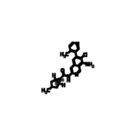 Cc1ccncc1-c1cc2cc(NC(=O)[C@H]3[C@@H]4CC(C)C[C@@H]43)ncc2c(N)c1Cl